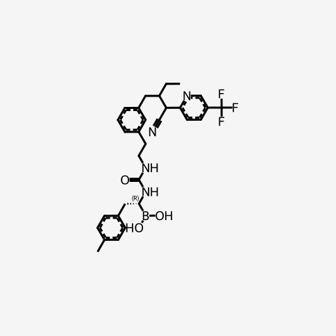 CCC(Cc1cccc(CCNC(=O)N[C@@H](Cc2ccc(C)cc2)B(O)O)c1)C(C#N)c1ccc(C(F)(F)F)cn1